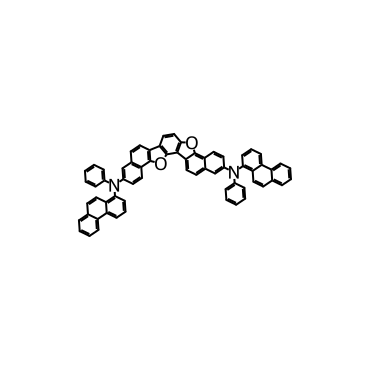 c1ccc(N(c2ccc3c(ccc4c5ccc6oc7c8ccc(N(c9ccccc9)c9cccc%10c9ccc9ccccc9%10)cc8ccc7c6c5oc34)c2)c2cccc3c2ccc2ccccc23)cc1